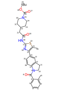 Cc1ccccc1C(=O)N1CCc2cc(-c3nc(NC(=O)CC4CCN(C(=O)OC(C)(C)C)CC4)sc3C)ccc21